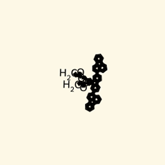 C=CC(=O)OCCCC1(COC(=O)C=C)c2cc(-c3ccc4c5c(cccc35)-c3ccccc3-4)ccc2-c2ccc(-c3ccc4c5c(cccc35)-c3ccccc3-4)cc21